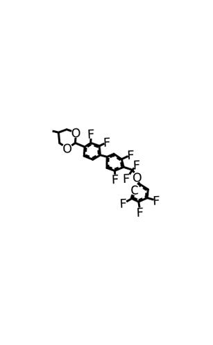 CC1COC(c2ccc(-c3cc(F)c(C(F)(F)Oc4cc(F)c(F)c(F)c4)c(F)c3)c(F)c2F)OC1